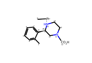 C[C](C)C.Cc1ccccc1[C@@H]1CN(C(=O)O)CCN1